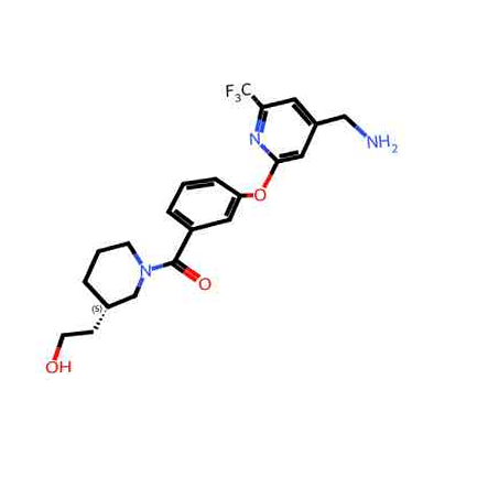 NCc1cc(Oc2cccc(C(=O)N3CCC[C@@H](CCO)C3)c2)nc(C(F)(F)F)c1